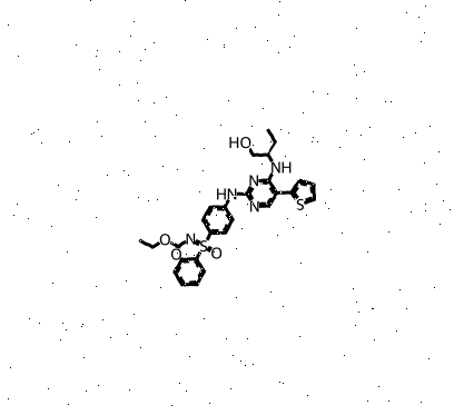 CCOC(=O)N=S(=O)(c1ccccc1)c1ccc(Nc2ncc(-c3cccs3)c(N[C@H](CC)CO)n2)cc1